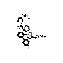 COCCCC[C@@](O)(c1ccccc1-c1ccc(F)cc1)[C@@H]1CCCN(C(=O)N2CC[C@H](N)C2)C1